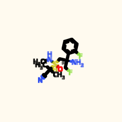 CN[SH](=O)(C[C@@](N)(CF)c1ccccc1F)C(C)(C)C#N